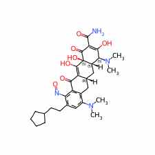 CN(C)c1cc(CCC2CCCC2)c(N=O)c2c1C[C@H]1C[C@H]3[C@H](N(C)C)C(O)=C(C(N)=O)C(=O)[C@@]3(O)C(O)=C1C2=O